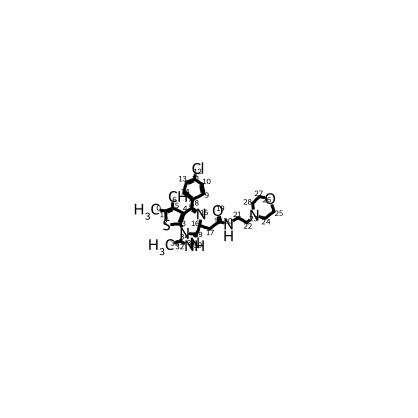 Cc1sc2c(c1C)C(c1ccc(Cl)cc1)=NC(CC(=O)NCCN1CCOCC1)C1=NNC(C)N12